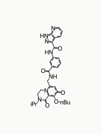 CCCCOc1c2n(c(CNC(=O)c3cccc(NC(=O)c4n[nH]c5ncccc45)c3)cc1=O)CCN(C(C)C)C2=O